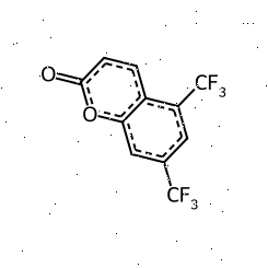 O=c1ccc2c(C(F)(F)F)cc(C(F)(F)F)cc2o1